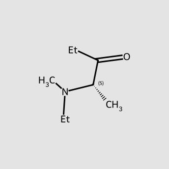 CCC(=O)[C@H](C)N(C)CC